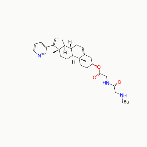 CC(C)(C)NCC(=O)NCC(=O)O[C@H]1CC[C@@]2(C)C(=CC[C@@H]3[C@@H]2CC[C@]2(C)C(c4cccnc4)=CC[C@@H]32)C1